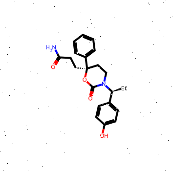 CC[C@@H](c1ccc(O)cc1)N1CC[C@](CCC(N)=O)(c2ccccc2)OC1=O